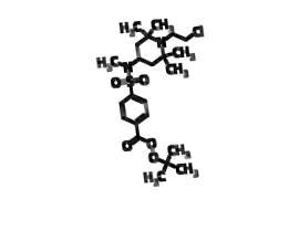 CN(C1CC(C)(C)N(CCCl)C(C)(C)C1)S(=O)(=O)c1ccc(C(=O)OOC(C)(C)C)cc1